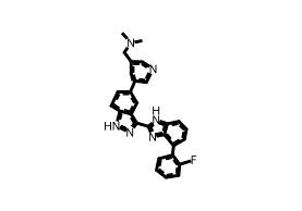 CN(C)Cc1cncc(-c2ccc3[nH]nc(-c4nc5c(-c6ccccc6F)cccc5[nH]4)c3c2)c1